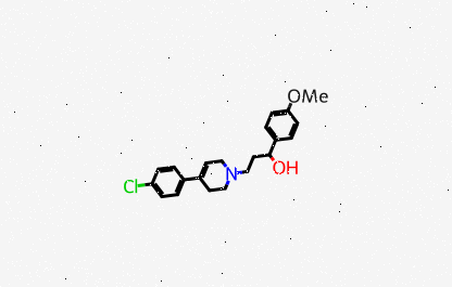 COc1ccc(C(O)CCN2CC=C(c3ccc(Cl)cc3)CC2)cc1